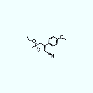 CCOP(C)(=O)C/C(=C/C#N)c1ccc(OC)cc1